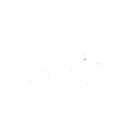 C=C/C(=C\c1cccs1)C(=O)OC